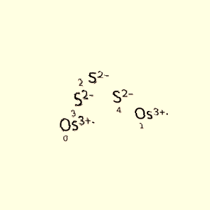 [Os+3].[Os+3].[S-2].[S-2].[S-2]